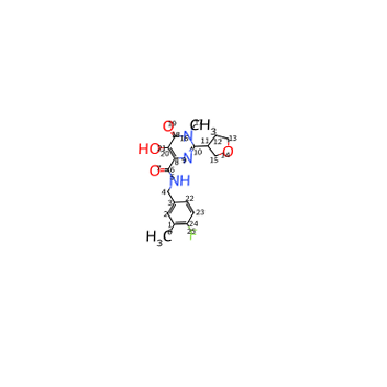 Cc1cc(CNC(=O)c2nc(C3CCOC3)n(C)c(=O)c2O)ccc1F